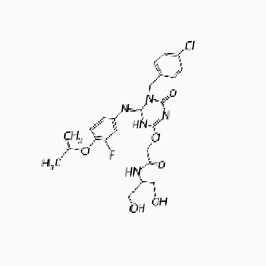 CC(C)Oc1ccc(/N=c2\[nH]c(OCC(=O)NC(CO)CO)nc(=O)n2Cc2ccc(Cl)cc2)cc1F